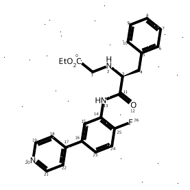 CCOC(=O)CN[C@@H](Cc1ccccc1)C(=O)Nc1cc(-c2ccncc2)ccc1F